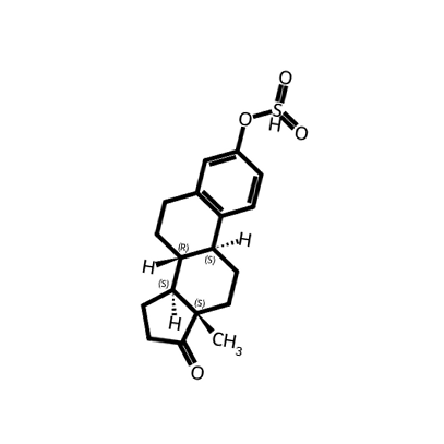 C[C@]12CC[C@@H]3c4ccc(O[SH](=O)=O)cc4CC[C@H]3[C@@H]1CCC2=O